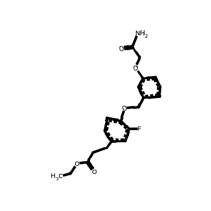 CCOC(=O)CCc1ccc(OCc2cccc(OCC(N)=O)c2)c(F)c1